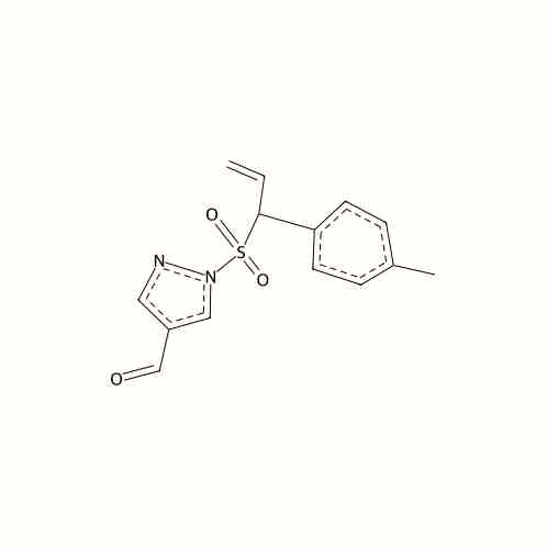 C=CC(c1ccc(C)cc1)S(=O)(=O)n1cc(C=O)cn1